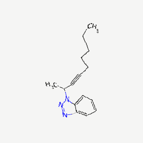 CCCCCC#CC(C)n1nnc2ccccc21